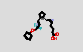 O=C(O)CCC/C=C\C[C@H]1CCC[C@@H]1/C=C/C(F)(F)COc1ccccc1